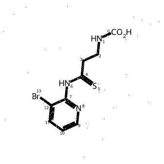 O=C(O)NCCC(=S)Nc1ncccc1Br